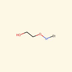 CC[N]OCCO